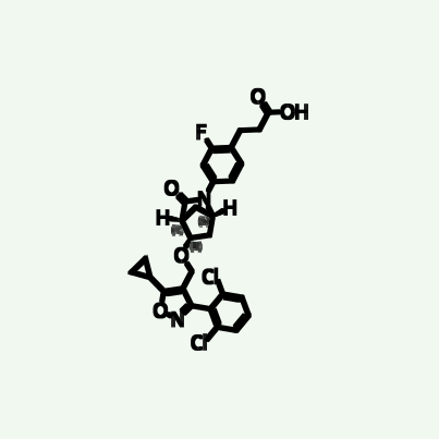 O=C(O)CCc1ccc(N2C(=O)[C@@H]3C[C@H]2C[C@H]3OCc2c(-c3c(Cl)cccc3Cl)noc2C2CC2)cc1F